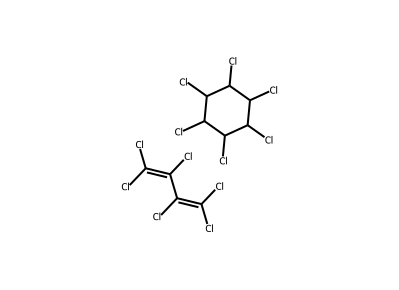 ClC(Cl)=C(Cl)C(Cl)=C(Cl)Cl.ClC1C(Cl)C(Cl)C(Cl)C(Cl)C1Cl